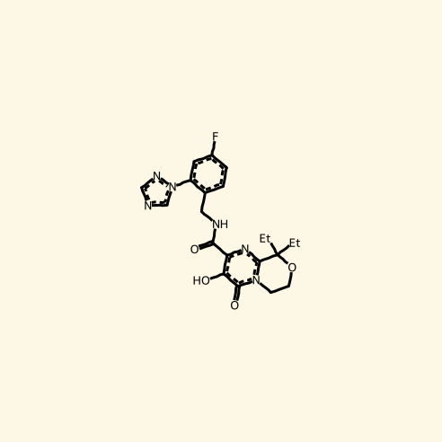 CCC1(CC)OCCn2c1nc(C(=O)NCc1ccc(F)cc1-n1cncn1)c(O)c2=O